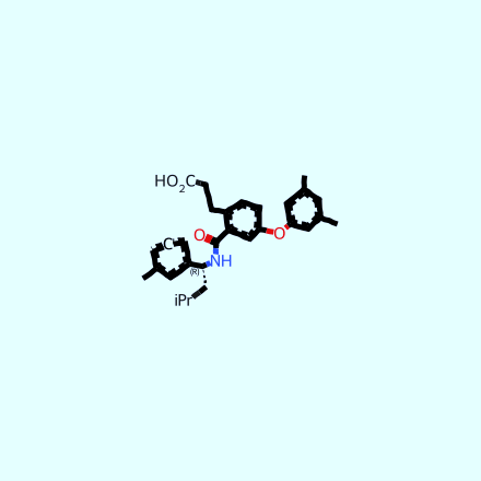 Cc1cc(C)cc(Oc2ccc(CCC(=O)O)c(C(=O)N[C@H](CC(C)C)c3cccc(C)c3)c2)c1